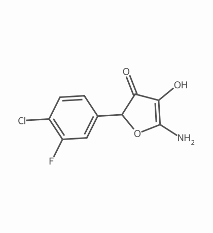 NC1=C(O)C(=O)C(c2ccc(Cl)c(F)c2)O1